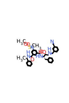 COOSN(C)c1cc(C(=O)N[C@@H](Cc2ccccc2)[C@H](O)CNCc2cccc(C#N)c2)cc(C(=O)N[C@H](C)c2ccccc2)c1